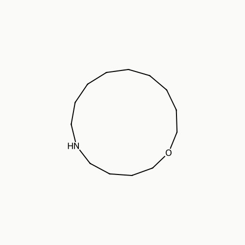 C1CCCCNCCCCOCCCC1